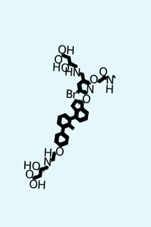 CNC(=O)COc1nc(O[C@H]2CCc3c(-c4cccc(-c5ccc(OCCNC[C@@H](O)CC(=O)O)cc5)c4C)cccc32)c(Br)cc1CNC[C@@H](O)CC(=O)O